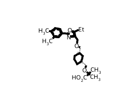 CCc1oc(-c2ccc(C)c(C)c2)nc1COC[C@H]1CCC[C@@H](COC(C)(C)C(=O)O)C1